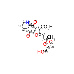 CC1(CCc2oc3c(c2C(=O)O)C(=O)c2ncccc2C3=O)OC[C@@H](CO)O1